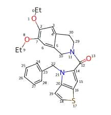 CCOc1cc2c(cc1OCC)CN(C(=O)c1cc3sccc3n1Cc1ccccc1)CC2